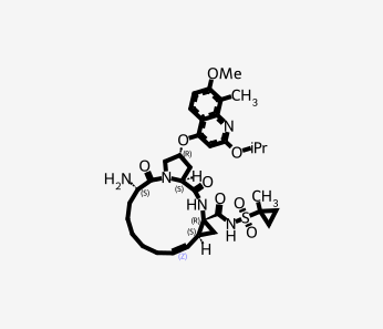 COc1ccc2c(O[C@@H]3C[C@H]4C(=O)N[C@]5(C(=O)NS(=O)(=O)C6(C)CC6)C[C@H]5/C=C\CCCCC[C@H](N)C(=O)N4C3)cc(OC(C)C)nc2c1C